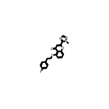 Cn1ncnc1-c1cc(=O)c2c(OCCc3ccc(F)cc3)cccc2o1